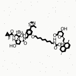 Cc1ncsc1-c1ccc(CNC(=O)[C@@H]2C[C@@H](O)CN2C(=O)[C@@H](NC(=O)C2(F)CC2)C(C)(C)C)c(OCCCCCCCCNC(=O)O[C@H]2C[C@@H](C)C=C3C=C[C@H](C)[C@H](CC[C@@H]4C[C@@H](O)CC(=O)O4)[C@H]32)c1